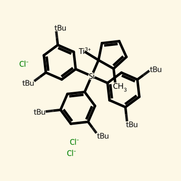 CC1=CC=C[C]1([Ti+3])[Si](c1cc(C(C)(C)C)cc(C(C)(C)C)c1)(c1cc(C(C)(C)C)cc(C(C)(C)C)c1)c1cc(C(C)(C)C)cc(C(C)(C)C)c1.[Cl-].[Cl-].[Cl-]